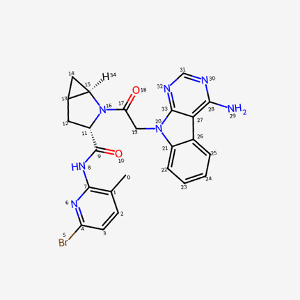 Cc1ccc(Br)nc1NC(=O)[C@@H]1CC2C[C@H]2N1C(=O)Cn1c2ccccc2c2c(N)ncnc21